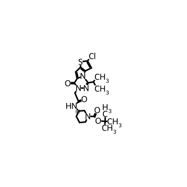 CC(C)c1nn(CC(=O)N[C@@H]2CCCN(C(=O)OC(C)(C)C)C2)c(=O)c2cc3sc(Cl)cc3n12